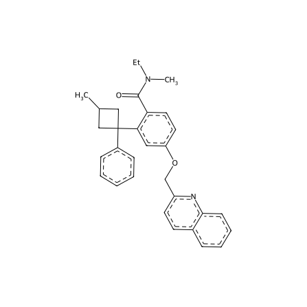 CCN(C)C(=O)c1ccc(OCc2ccc3ccccc3n2)cc1C1(c2ccccc2)CC(C)C1